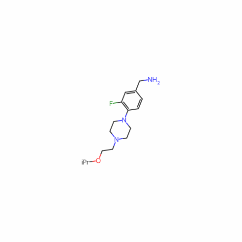 CC(C)OCCN1CCN(c2ccc(CN)cc2F)CC1